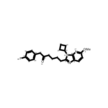 COc1ccc2nc(CCCCC(=O)Cc3ccc(F)cc3)n(C3CCC3)c2n1